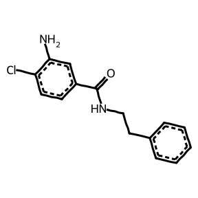 Nc1cc(C(=O)NCCc2ccccc2)ccc1Cl